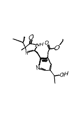 COC(=O)c1cc(C(C)O)cnc1C1=NC(C)(C(C)C)C(=O)N1